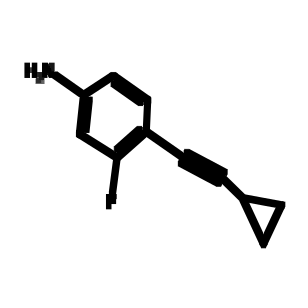 Nc1ccc(C#CC2CC2)c(F)c1